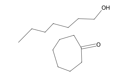 CCCCCCCO.O=C1CCCCCC1